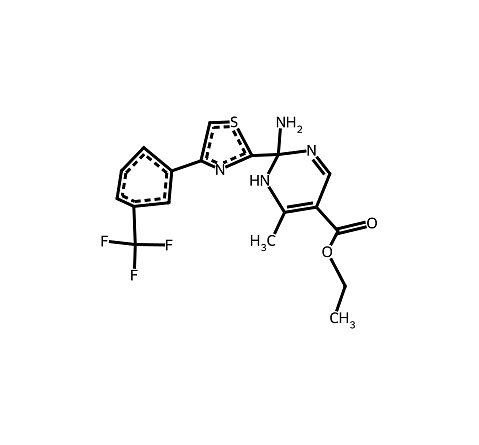 CCOC(=O)C1=C(C)NC(N)(c2nc(-c3cccc(C(F)(F)F)c3)cs2)N=C1